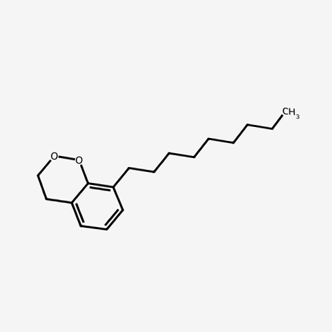 CCCCCCCCCc1cccc2c1OOCC2